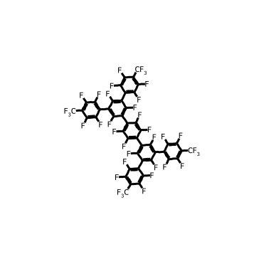 Fc1c(F)c(-c2c(F)c(-c3c(F)c(F)c(C(F)(F)F)c(F)c3F)c(F)c(-c3c(F)c(F)c(C(F)(F)F)c(F)c3F)c2F)c(F)c(F)c1-c1c(F)c(-c2c(F)c(F)c(C(F)(F)F)c(F)c2F)c(F)c(-c2c(F)c(F)c(C(F)(F)F)c(F)c2F)c1F